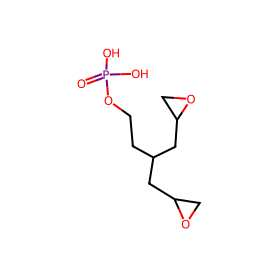 O=P(O)(O)OCCC(CC1CO1)CC1CO1